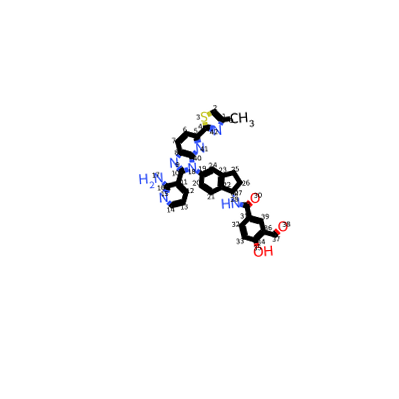 Cc1csc(-c2ccc3nc(-c4cccnc4N)n(-c4ccc5c(c4)CC[C@@H]5NC(=O)c4ccc(O)c(C=O)c4)c3n2)n1